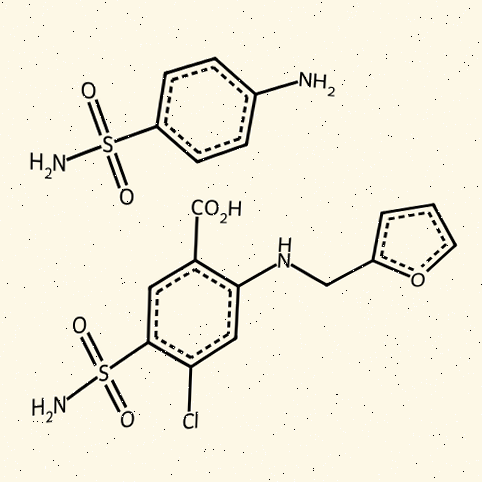 NS(=O)(=O)c1cc(C(=O)O)c(NCc2ccco2)cc1Cl.Nc1ccc(S(N)(=O)=O)cc1